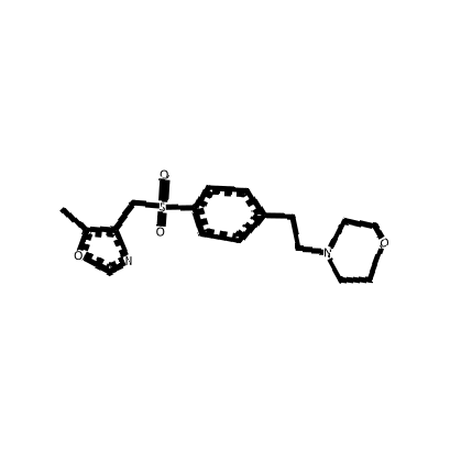 Cc1o[c]nc1CS(=O)(=O)c1ccc(CCN2CCOCC2)cc1